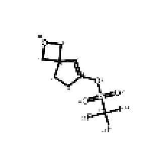 O=S(=O)(OC1=CC2(CC1)COC2)C(F)(F)F